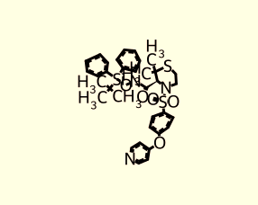 CC1(C)SCCN(S(=O)(=O)c2ccc(Oc3ccncc3)cc2)[C@H]1C(=O)NO[Si](c1ccccc1)(c1ccccc1)C(C)(C)C